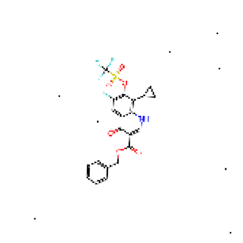 O=C(OCc1ccccc1)c1c[nH]c2c(C3CC3)c(OS(=O)(=O)C(F)(F)F)c(F)cc2c1=O